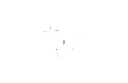 C=C(C)C(=O)O.CC[N+](C)(C)C.O=S(=O)(O)O